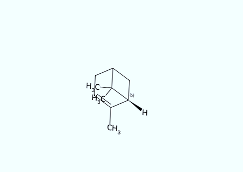 CC1=CCC2C[C@H]1C2(C)C